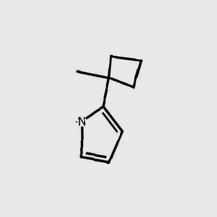 CC1(C2=CC=C[N]2)CCC1